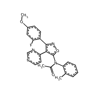 COc1ccc(-c2noc(N(C(C)=O)c3ccccc3C)c2-c2ccncn2)c(F)c1